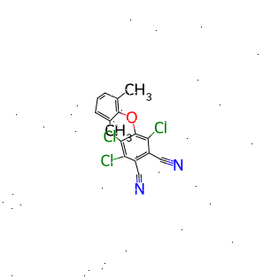 Cc1cccc(C)c1Oc1c(Cl)c(Cl)c(C#N)c(C#N)c1Cl